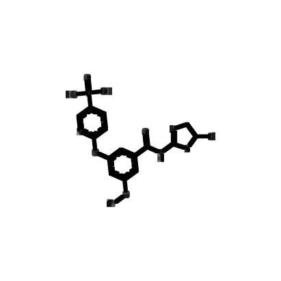 CC(C)Oc1cc(Oc2ccc(P(=O)(O)O)cn2)cc(C(=O)NC2=NCC(Cl)S2)c1